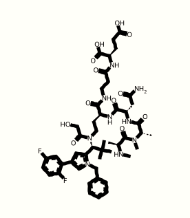 CN[C@@H](C)C(=O)N(C)[C@@H](C)C(=O)N[C@@H](CC(N)=O)C(=O)N[C@@H](CCN(C(=O)CO)[C@@H](c1cc(-c2cc(F)ccc2F)cn1Cc1ccccc1)C(C)(C)C)C(=O)NCCC(=O)N[C@H](CCC(=O)O)C(=O)O